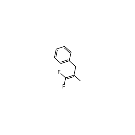 CC(Cc1ccccc1)=C(F)F